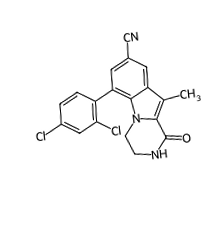 Cc1c2n(c3c(-c4ccc(Cl)cc4Cl)cc(C#N)cc13)CCNC2=O